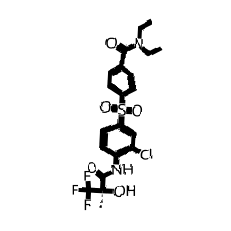 CCN(CC)C(=O)c1ccc(S(=O)(=O)c2ccc(NC(=O)[C@@](C)(O)C(F)(F)F)c(Cl)c2)cc1